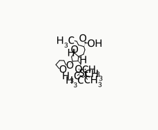 CCC1O[C@H]2C[C@@H](OC3CCCCO3)[C@H](CO[Si](C)(C)C(C)(C)C)[C@H]2CC[C@H]1C(=O)O